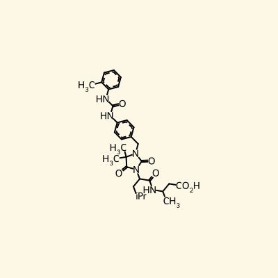 Cc1ccccc1NC(=O)Nc1ccc(CN2C(=O)N(C(CC(C)C)C(=O)NC(C)CC(=O)O)C(=O)C2(C)C)cc1